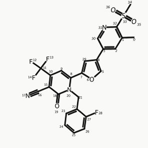 Cc1cc(-c2coc(-c3cc(C(F)(F)F)c(C#N)c(=O)n3Cc3ccccc3F)c2)cnc1S(C)(=O)=O